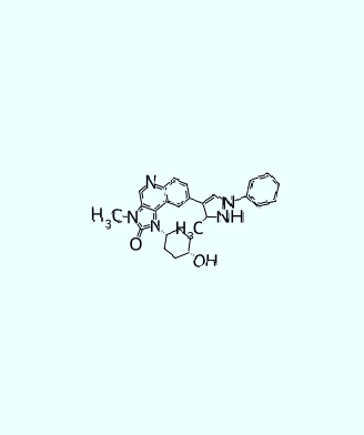 CC1NN(c2ccccc2)C=C1c1ccc2ncc3c(c2c1)n([C@H]1CC[C@@H](O)CC1)c(=O)n3C